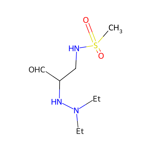 CCN(CC)NC(C=O)CNS(C)(=O)=O